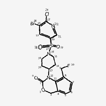 O=C1OCc2cccc(CF)c2N1C1CCN(S(=O)(=O)c2cnc(Cl)c(Br)c2)CC1